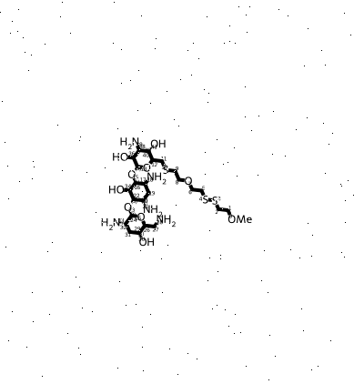 COCCSSCCOCCSCC1O[C@H](O[C@H]2C(N)C[C@H](N)[C@H](O[C@H]3OC(CN)[C@@H](O)C[C@@H]3N)C2O)C(O)C(N)[C@@H]1O